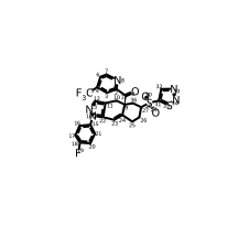 O=C(c1cc(C(F)(F)F)ccn1)[C@]12Cc3cnn(-c4ccc(F)cc4)c3C=C1CCC(S(=O)(=O)c1cnns1)C2